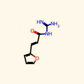 N=C(N)NC(=O)C=Cc1ccco1